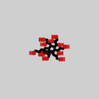 O=C(O)C(CC(O)CO)C(CC(O)CO)C(CC(O)CO)C(CC(O)CO)C(CCCC(O)CO)CC(O)CO